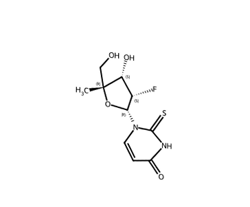 C[C@]1(CO)O[C@@H](n2ccc(=O)[nH]c2=S)[C@@H](F)[C@H]1O